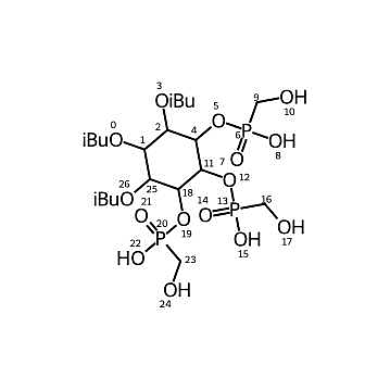 CC(C)COC1C(OCC(C)C)C(OP(=O)(O)CO)C(OP(=O)(O)CO)C(OP(=O)(O)CO)C1OCC(C)C